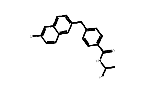 CC(C)C(C)NC(=O)c1ccc(Cc2ccc3cc(Cl)ccc3c2)cc1